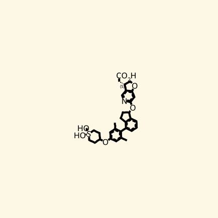 Cc1cc(OC2CCS(O)(O)CC2)cc(C)c1-c1cccc2c1CCC2Oc1cc2c(cn1)[C@H](CC(=O)O)CO2